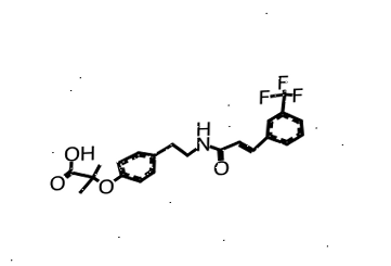 CC(C)(Oc1ccc(CCNC(=O)C=Cc2cccc(C(F)(F)F)c2)cc1)C(=O)O